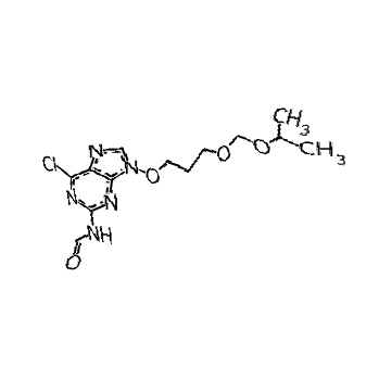 CC(C)OCOCCCOn1cnc2c(Cl)nc(NC=O)nc21